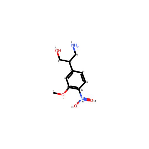 COc1cc(C(CN)CO)ccc1[N+](=O)[O-]